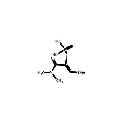 CSC=C(OP(=O)(O)O)C(=O)N(C)C